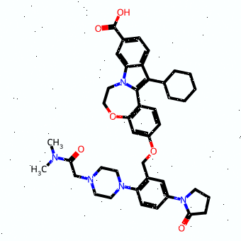 CN(C)C(=O)CN1CCN(c2ccc(N3CCCC3=O)cc2COc2ccc3c(c2)OCCn2c-3c(C3CCCCC3)c3ccc(C(=O)O)cc32)CC1